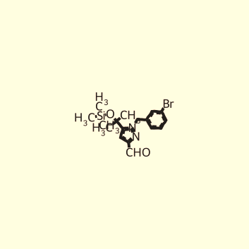 CC(C)(O[Si](C)(C)C)c1cc(C=O)nn1Cc1cccc(Br)c1